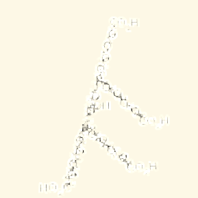 O=C(O)CCOCCOCCOCCOCCN(CCCOCC(O)COCCCN(CCOCCOCCOCCOCCC(=O)O)COCCOCCOCCOCCC(=O)O)COCCOCCOCCOCCC(=O)O